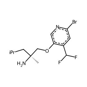 CC(C)C[C@](C)(N)COc1cnc(Br)cc1C(F)F